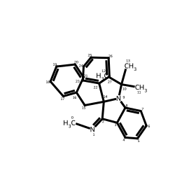 C/N=C1/c2ccccc2N(C(C)(C)C)C1(Cc1ccccc1)c1ccccc1